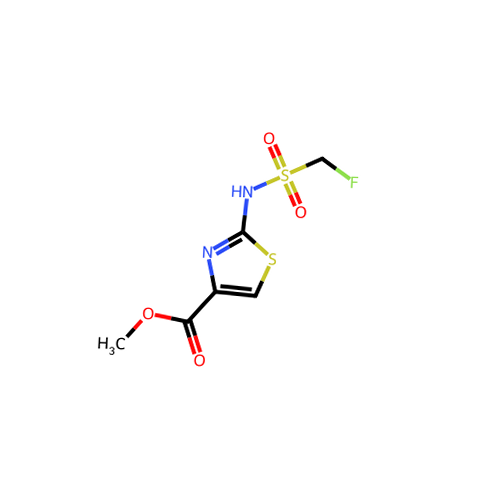 COC(=O)c1csc(NS(=O)(=O)CF)n1